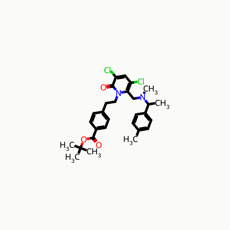 Cc1ccc(C(C)N(C)Cc2c(Cl)cc(Cl)c(=O)n2CCc2ccc(C(=O)OC(C)(C)C)cc2)cc1